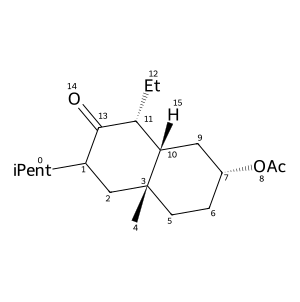 CCCC(C)C1C[C@@]2(C)CC[C@@H](OC(C)=O)C[C@H]2[C@@H](CC)C1=O